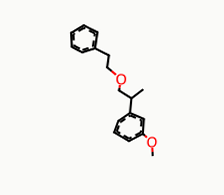 COc1cccc(C(C)COCCc2ccccc2)c1